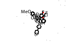 COc1ccc(S(=O)(=O)N2C(=O)C(C(=O)NN3CCC(C4CCN(C)CC4)CC3)(c3ccccc3OCC(F)F)c3cc(Cl)c(F)cc32)c(OC)c1